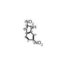 O=[N+]([O-])c1ccc2nc([N+](=O)[O-])[nH]c2c1